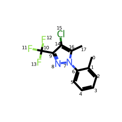 Cc1ccccc1-n1nc(C(F)(F)F)c(Cl)c1C